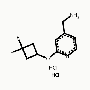 Cl.Cl.NCc1ccnc(OC2CC(F)(F)C2)c1